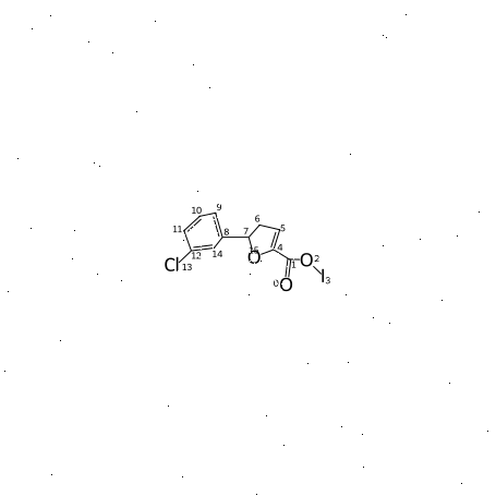 O=C(OI)C1=CCC(c2cccc(Cl)c2)O1